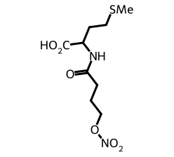 CSCCC(NC(=O)CCCO[N+](=O)[O-])C(=O)O